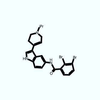 CC(C)N1CC=C(c2c[nH]c3ccc(NC(=O)c4cccc(Br)c4Br)cc23)CC1